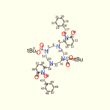 CC(C)(C)OC(=O)N1CCN(Cc2cccc(=O)n2OCc2ccccc2)CCN(C(=O)OC(C)(C)C)CCN(Cc2cccc(=O)n2OCc2ccccc2)CC1